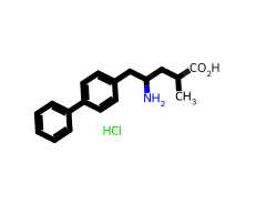 CC(CC(N)Cc1ccc(-c2ccccc2)cc1)C(=O)O.Cl